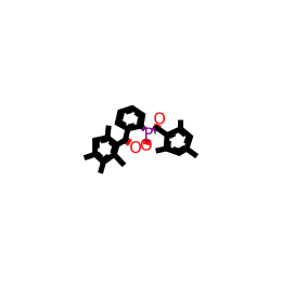 Cc1cc(C)c(C(=O)[P](=O)c2ccccc2C(=O)c2c(C)cc(C)c(C)c2C)c(C)c1